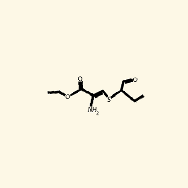 CCOC(=O)/C(N)=C/SC(C=O)CC